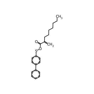 C=C(CCCCCCC)C(=O)OSc1ccc(-c2ccccc2)cc1